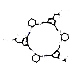 CCC(=O)Oc1cc2c(O)c(c1)/C=N/C1CCCCC1/N=C/c1cc(CC(=O)OC)cc(c1O)/C=N/C1CCCCC1/N=C/c1cc(CC(=O)OC)cc(c1O)/C=N/C1CCCCC1/N=C/2